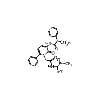 CC(C)C(NC(=O)Cn1c(-c2ccccc2)ccc(NC(=O)C(C(=O)O)c2ccccc2)c1=O)C(=O)C(F)(F)F